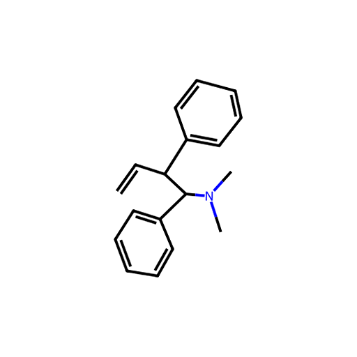 C=CC(c1ccccc1)C(c1ccccc1)N(C)C